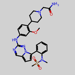 COc1cc(Nc2ncc3ccc(-c4ccccc4N(C)S(C)(=O)=O)n3n2)ccc1C1CCN(CC(N)=O)CC1